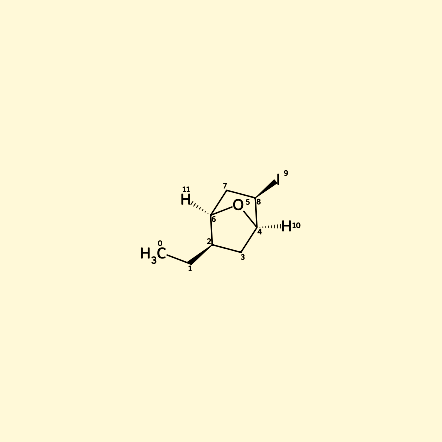 CC[C@@H]1C[C@H]2O[C@@H]1C[C@H]2I